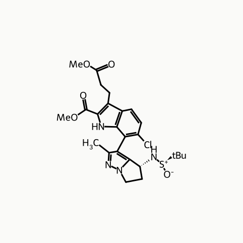 COC(=O)CCc1c(C(=O)OC)[nH]c2c(-c3c(C)nn4c3[C@H](N[S@+]([O-])C(C)(C)C)CC4)c(Cl)ccc12